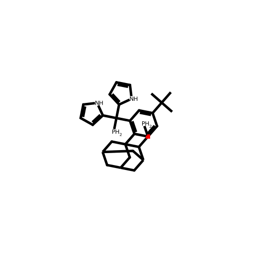 CC(C)(C)c1ccc(C23CC4CC(CC(C4)C2CP)C3)c(C(P)(c2ccc[nH]2)c2ccc[nH]2)c1